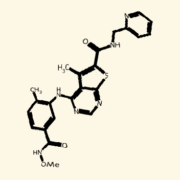 CONC(=O)c1ccc(C)c(Nc2ncnc3sc(C(=O)NCc4ccccn4)c(C)c23)c1